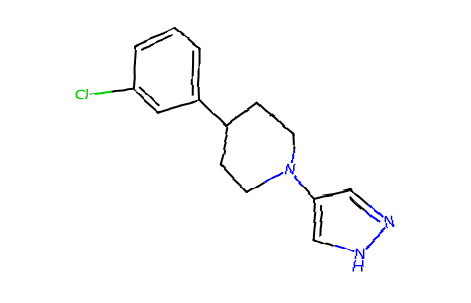 Clc1cccc(C2CCN(c3cn[nH]c3)CC2)c1